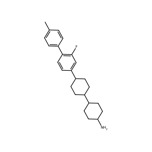 Cc1ccc(-c2ccc(C3CCC(C4CCC(N)CC4)CC3)cc2F)cc1